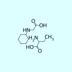 CCC(N)C(=O)O.O=C(O)CNC1CCCCC1